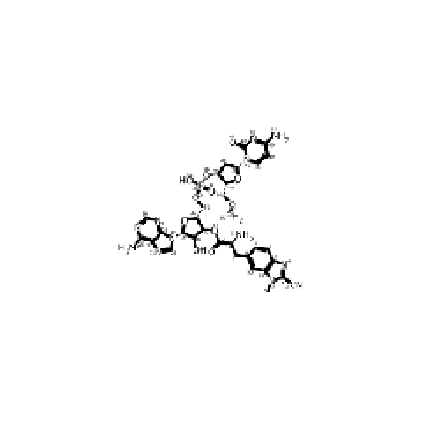 Cn1c(C#N)nc2ccc(C[C@H](N)C(=O)O[C@H]3[C@@H](O)[C@H](n4cnc5c(N)ncnc54)O[C@@H]3COP(=O)(O)O[C@H]3C[C@H](n4ccc(N)nc4=O)O[C@@H]3COP)cc21